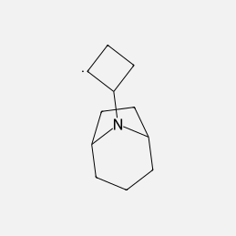 [CH]1CCC1N1C2CCCC1CC2